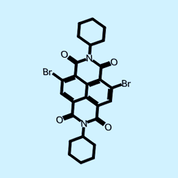 O=C1c2cc(Br)c3c4c(c(Br)cc(c24)C(=O)N1C1CCCCC1)C(=O)N(C1CCCCC1)C3=O